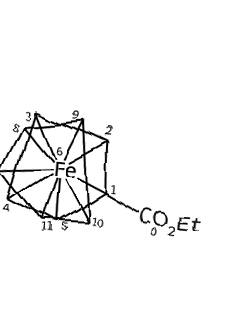 CCOC(=O)[C]12[CH]3[CH]4[CH]5[CH]1[Fe]45321678[CH]2[CH]1[CH]6[CH]7[CH]28